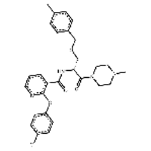 Cc1ccc(COC[C@@H](NC(=O)c2cccnc2Oc2ccc(Cl)cc2)C(=O)N2CCN(C)CC2)cc1